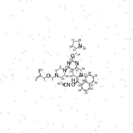 C=C(F)COCN1CCN(c2nc(OC[C@@H]3CCCN3C)nc3c2CCN(c2cccc4cccc(CO)c24)C3)C[C@@H]1CC#N